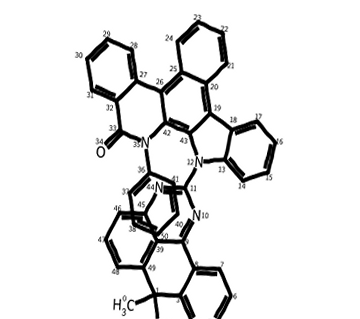 CC1(C)c2ccccc2-c2nc(-n3c4ccccc4c4c5ccccc5c5c6ccccc6c(=O)n(-c6ccccc6)c5c43)nc3cccc1c23